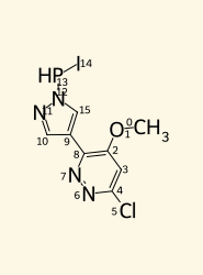 COc1cc(Cl)nnc1-c1cnn(PI)c1